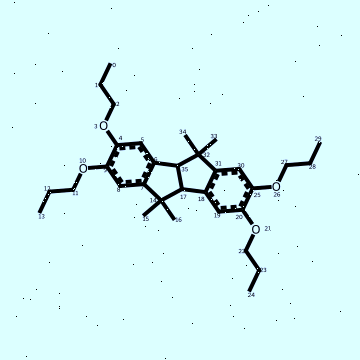 CCCOc1cc2c(cc1OCCC)C(C)(C)C1c3cc(OCCC)c(OCCC)cc3C(C)(C)C21